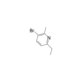 CCc1ccc(Br)c(C)n1